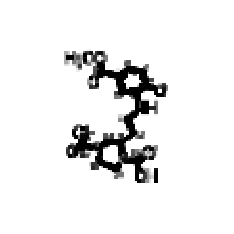 COC(=O)c1ccc(Cl)c(NCC[C@@H]2CN(C(=O)O)CCN2C(=O)O)c1